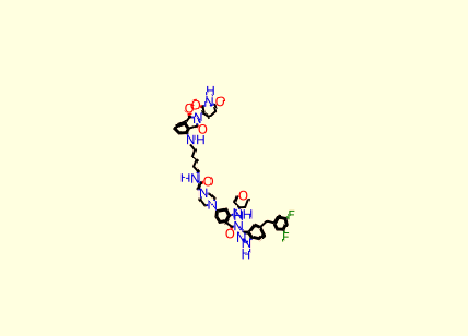 O=C(CN1CCN(c2ccc(C(=O)Nc3n[nH]c4ccc(Cc5cc(F)cc(F)c5)cc34)c(NC3CCOCC3)c2)CC1)NCCCCCCNc1cccc2c1C(=O)N(C1CCC(=O)NC1=O)C2=O